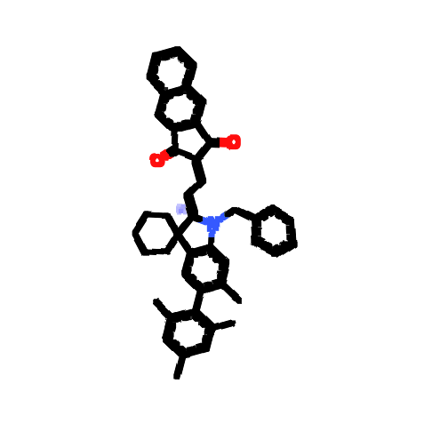 Cc1cc(C)c(-c2cc3c(cc2C)N(Cc2ccccc2)/C(=C\C=C2C(=O)c4cc5ccccc5cc4C2=O)C32CCCCC2)c(C)c1